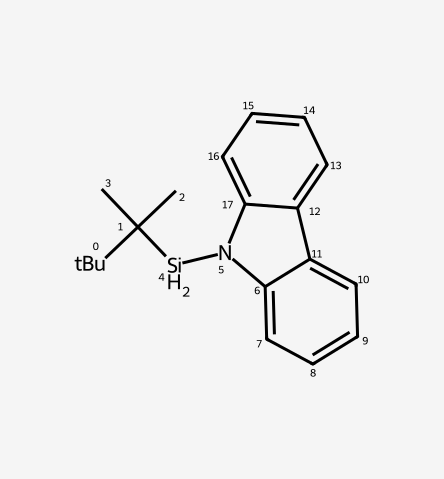 CC(C)(C)C(C)(C)[SiH2]n1c2ccccc2c2ccccc21